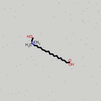 C[N+](C)(CCO)CCCCCCCCCCCCCCCCCC(=O)O